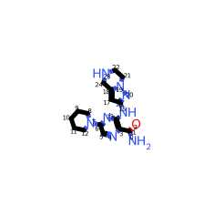 NC(=O)c1ncc(N2CCCCC2)nc1Nc1cc2n(n1)CCNC2